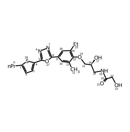 CCCc1ccc(-c2nnc(-c3cc(C)c(OC[C@@H](O)CNC(=O)CO)c(CC)c3)o2)s1